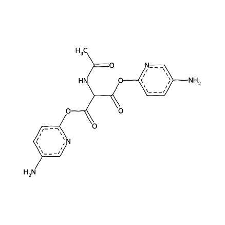 CC(=O)NC(C(=O)Oc1ccc(N)cn1)C(=O)Oc1ccc(N)cn1